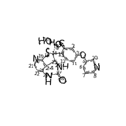 Cc1cc(Oc2cccnc2)ccc1C1(C(=O)O)Sc2nccc3c2C1NC(=O)N3